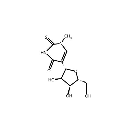 Cn1cc([C@@H]2O[C@H](CO)[C@@H](O)[C@H]2O)c(=O)[nH]c1=S